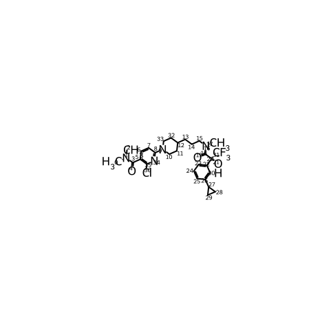 CN(C)C(=O)c1ccc(N2CCC(CCCN(C)C(=O)[C@@](O)(c3cccc(C4CC4)c3)C(F)(F)F)CC2)nc1Cl